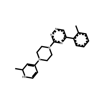 Cc1ccccc1-c1cnnc(N2CCN(C3=CC(C)NC=C3)CC2)n1